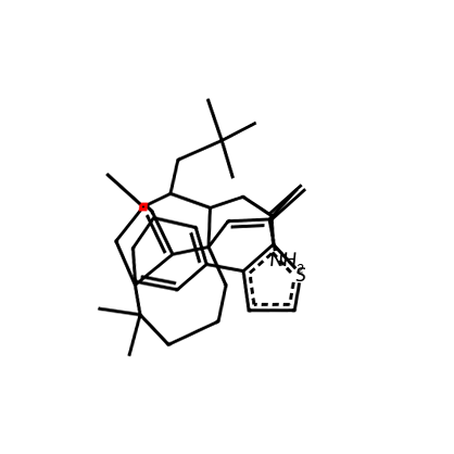 C=C(CC1C(CC(C)(C)C)C(C)CC2/C(=C\C)C1(/C=C(/C)N)CCCC2(C)C)c1sccc1C1=CCCC=C1